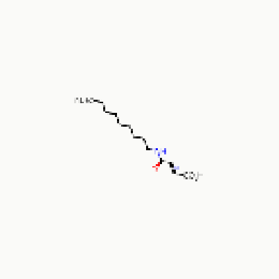 CCCCCCCCCCCCCCCCCCNC(=O)/C=C/C(=O)O